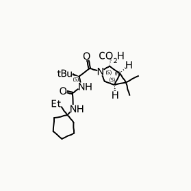 CCC1(NC(=O)N[C@H](C(=O)N2C[C@H]3[C@@H]([C@H]2C(=O)O)C3(C)C)C(C)(C)C)CCCCC1